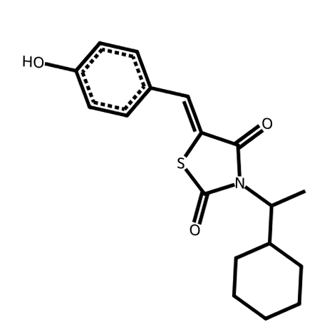 CC(C1CCCCC1)N1C(=O)S/C(=C\c2ccc(O)cc2)C1=O